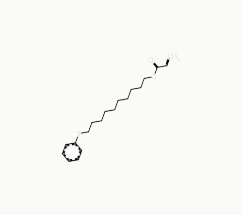 C=CC(=O)OCCCCCCCCCCSc1ccccc1